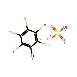 O=S(=O)(O)O.[Li][c]1c(F)c(F)c(F)c(F)c1F